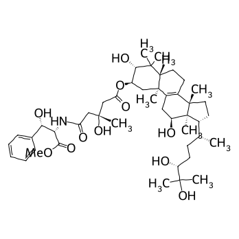 COC(=O)[C@@H](NC(=O)C[C@@](C)(O)CC(=O)O[C@@H]1C[C@]2(C)C3=C(CC[C@H]2C(C)(C)[C@H]1O)[C@]1(C)CC[C@H]([C@H](C)CC[C@@H](O)C(C)(C)O)[C@@]1(C)[C@@H](O)C3)[C@@H](O)c1ccccc1